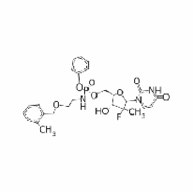 Cc1ccccc1COCCNP(=O)(OC[C@H]1O[C@@H](n2ccc(=O)[nH]c2=O)[C@](C)(F)[C@@H]1O)Oc1ccccc1